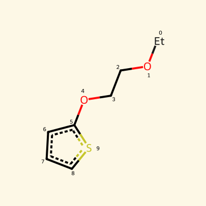 CCOCCOc1cccs1